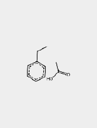 CC(=O)O.[CH2]Cc1ccccc1